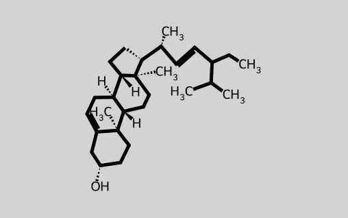 CCC(/C=C/[C@@H](C)[C@H]1CC[C@H]2[C@@H]3CC=C4C[C@@H](O)CC[C@]4(C)[C@H]3CC[C@]12C)C(C)C